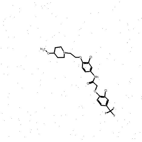 COC1CCN(CCOc2ccc(NC(=O)COc3ccc(C(F)(F)F)cc3Cl)cc2Cl)CC1